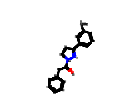 COc1cccc(C2=NN(C(=O)Cc3ccccc3)CC2)c1